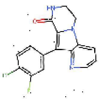 O=C1NCCn2c1c(-c1ccc(Cl)c(F)c1)c1ncccc12